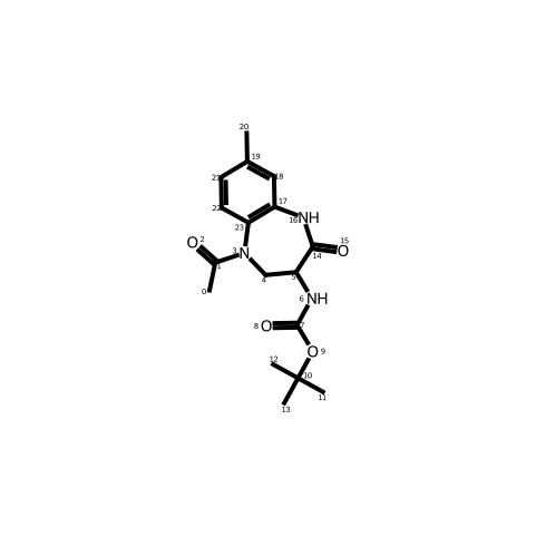 CC(=O)N1CC(NC(=O)OC(C)(C)C)C(=O)Nc2cc(C)ccc21